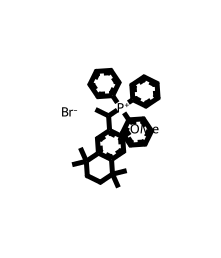 COc1cc2c(cc1C(C)[P+](c1ccccc1)(c1ccccc1)c1ccccc1)C(C)(C)CCC2(C)C.[Br-]